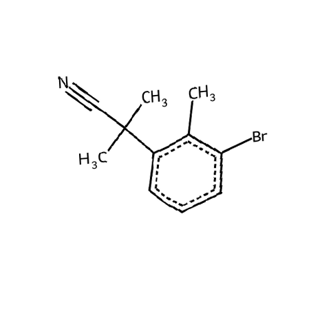 Cc1c(Br)cccc1C(C)(C)C#N